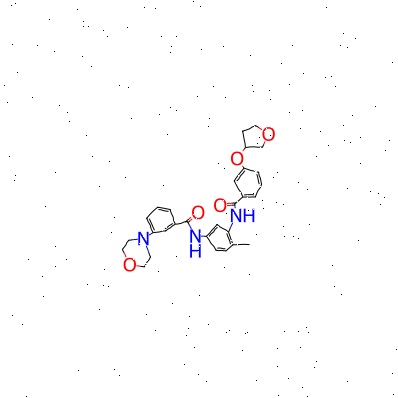 Cc1ccc(NC(=O)c2cccc(N3CCOCC3)c2)cc1NC(=O)c1cccc(OC2CCOC2)c1